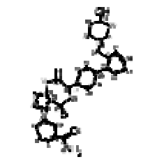 NC(=O)c1cccc(-n2cnc3c2C(=O)CC(c2ccc(-c4ccccc4CN4CCC(O)CC4)cc2)NC3)c1